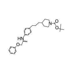 C=C(COc1ccccc1)Nc1ccc(CCCC2CCN(C(=O)OC(C)(C)C)CC2)cc1